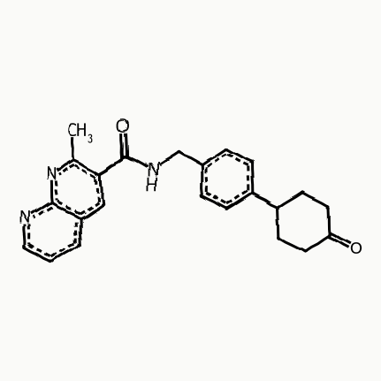 Cc1nc2ncccc2cc1C(=O)NCc1ccc(C2CCC(=O)CC2)cc1